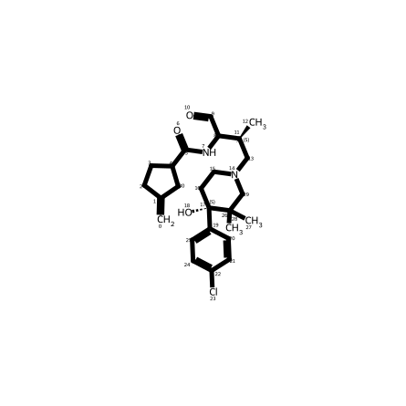 C=C1CCC(C(=O)NC(C=O)[C@@H](C)CN2CC[C@](O)(c3ccc(Cl)cc3)C(C)(C)C2)C1